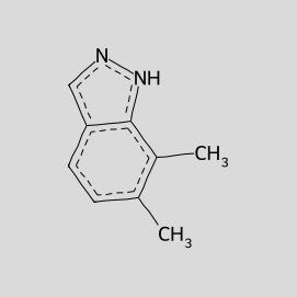 Cc1ccc2cn[nH]c2c1C